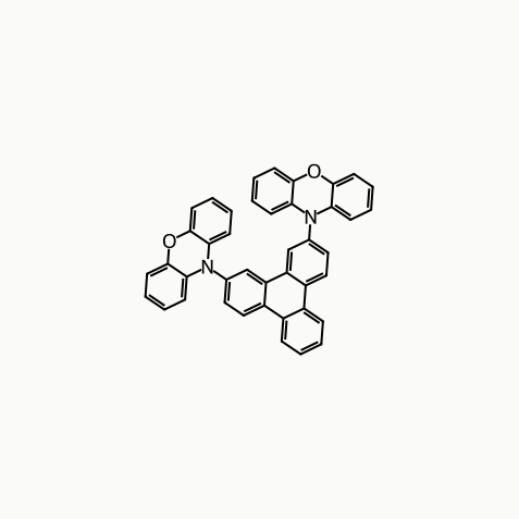 c1ccc2c(c1)Oc1ccccc1N2c1ccc2c3ccccc3c3ccc(N4c5ccccc5Oc5ccccc54)cc3c2c1